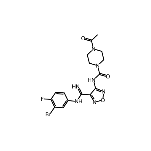 CC(=O)N1CCN(C(=O)Nc2nonc2C(=N)Nc2ccc(F)c(Br)c2)CC1